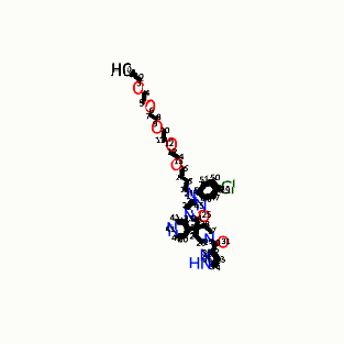 C#CCOCCOCCOCCOCCOCCCCn1c(CN2C(=O)C3(CCN(C(=O)c4cc[nH]n4)CC3)c3ccncc32)nc2cc(Cl)ccc21